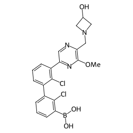 COc1nc(-c2cccc(-c3cccc(B(O)O)c3Cl)c2Cl)cnc1CN1CC(O)C1